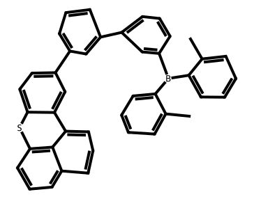 Cc1ccccc1B(c1cccc(-c2cccc(-c3ccc4c(c3)-c3cccc5cccc(c35)S4)c2)c1)c1ccccc1C